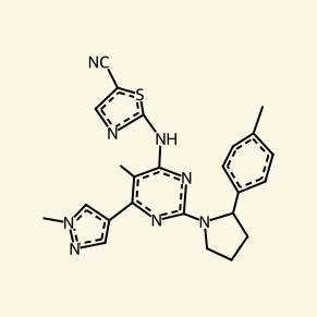 Cc1ccc(C2CCCN2c2nc(Nc3ncc(C#N)s3)c(C)c(-c3cnn(C)c3)n2)cc1